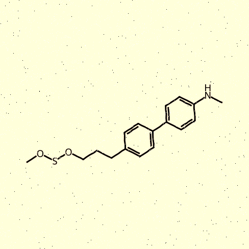 CNc1ccc(-c2ccc(CCCOSOC)cc2)cc1